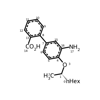 CCCCCC[C@H](C)Oc1ccc(-c2ccccc2C(=O)O)cc1N